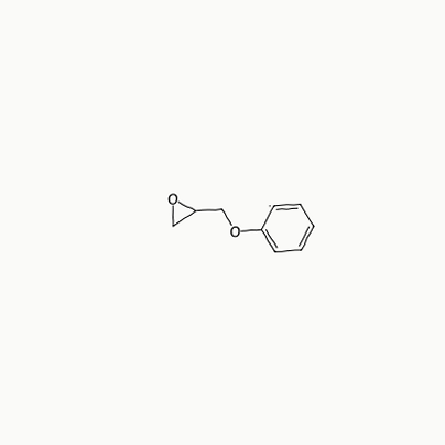 [c]1ccccc1OCC1CO1